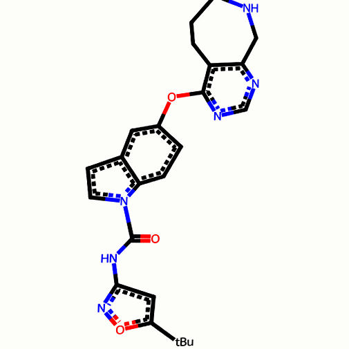 CC(C)(C)c1cc(NC(=O)n2ccc3cc(Oc4ncnc5c4CCCNC5)ccc32)no1